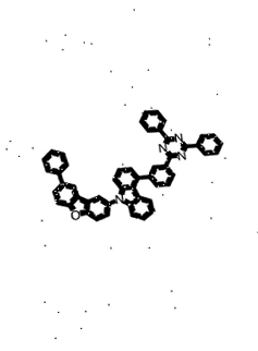 c1ccc(-c2ccc3oc4ccc(-n5c6ccccc6c6c(-c7cccc(-c8nc(-c9ccccc9)nc(-c9ccccc9)n8)c7)cccc65)cc4c3c2)cc1